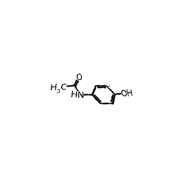 CC(=O)Nc1c[c]c(O)cc1